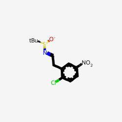 CC(C)(C)[S@@+]([O-])/N=C/Cc1cc([N+](=O)[O-])ccc1Cl